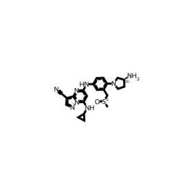 C[S+]([O-])Cc1cc(Nc2cc(NC3CC3)n3ncc(C#N)c3n2)ccc1N1CC[C@H](N)C1